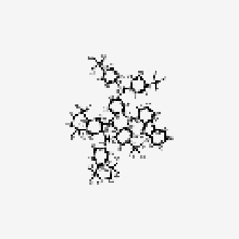 CC(C)(C)c1ccc(N(c2ccc(C(C)(C)C)cc2)c2ccc3c(c2)N(c2cccc4c2sc2ccccc24)c2cc(C(C)(C)C)cc4c2B3c2cc3c(cc2N4c2ccc4c(c2)C(C)(C)CCC4(C)C)C(C)(C)CCC3(C)C)cc1